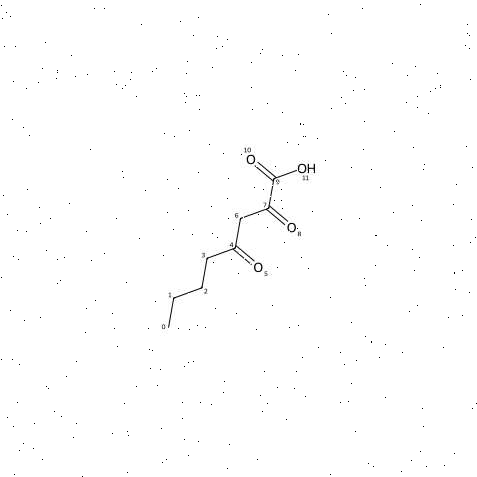 CCCCC(=O)CC(=O)C(=O)O